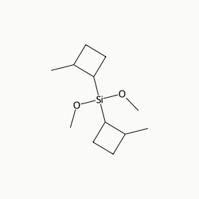 CO[Si](OC)(C1CCC1C)C1CCC1C